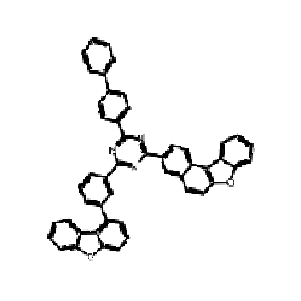 c1ccc(-c2ccc(-c3nc(-c4cccc(-c5cccc6oc7ccccc7c56)c4)nc(-c4ccc5c(ccc6oc7ccccc7c65)c4)n3)cc2)cc1